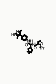 Cc1n[nH]c(C)c1-c1ccc(NC(=O)C(NC(=O)c2ccnn2C(C)C)C2CCC(C)(C)C2)cc1